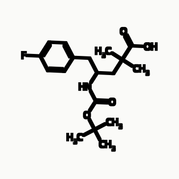 CC(C)(C)OC(=O)NC(Cc1ccc(F)cc1)CC(C)(C)C(=O)O